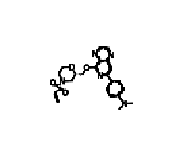 C=CS(=O)(=O)N1CCO[C@H](COc2nc(-c3ccc(N(C)C)cc3)cc3nccnc23)C1